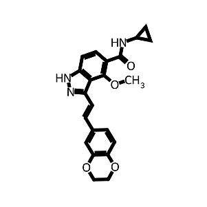 COc1c(C(=O)NC2CC2)ccc2[nH]nc(C=Cc3ccc4c(c3)OCCO4)c12